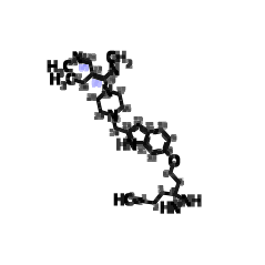 C#CCCC1(CCOc2ccc3cc(CN4CCN(/C(N=C)=C(/C=N\C)CC)CC4)[nH]c3c2)NN1